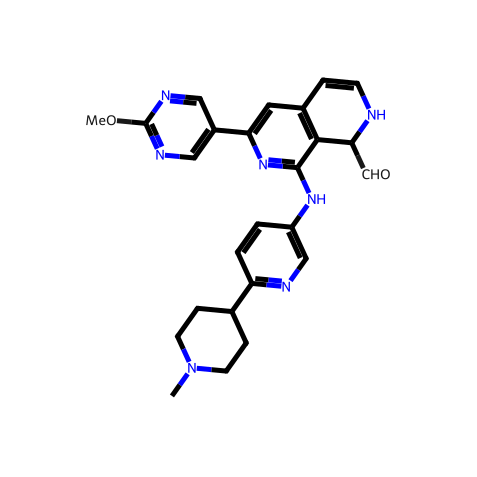 COc1ncc(-c2cc3c(c(Nc4ccc(C5CCN(C)CC5)nc4)n2)C(C=O)NC=C3)cn1